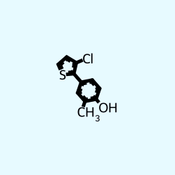 Cc1cc(-c2sccc2Cl)ccc1O